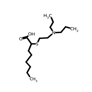 CCCCCCC(SCCN(CCC)CCC)C(=O)O